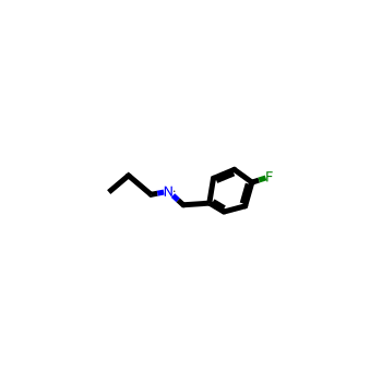 CCC[N]Cc1ccc(F)cc1